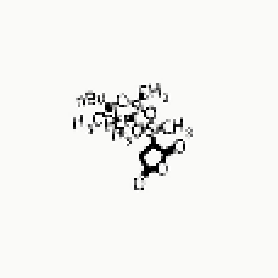 CCCC[Si](C)(C)O[Si](C)(C)O[Si](C)(C)C1CC(=O)OC1=O